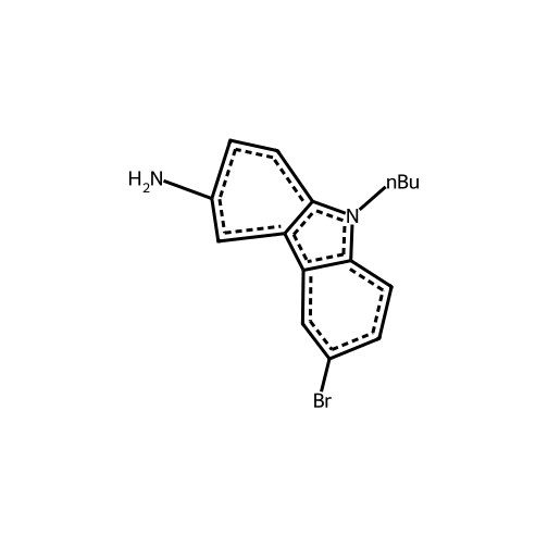 CCCCn1c2ccc(N)cc2c2cc(Br)ccc21